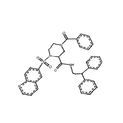 O=C(NCC(c1ccccc1)c1ccccc1)C1CN(C(=O)c2ccccc2)CCN1S(=O)(=O)c1ccc2ncccc2c1